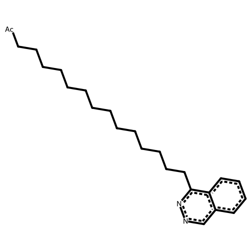 CC(=O)CCCCCCCCCCCCCCc1nncc2ccccc12